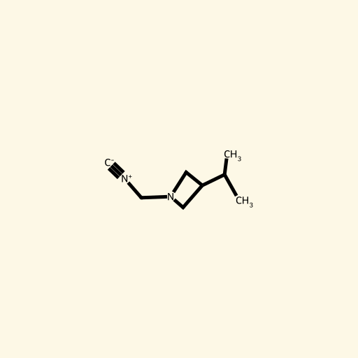 [C-]#[N+]CN1CC(C(C)C)C1